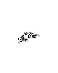 Nc1ncnc2c1ncn2[C@@H]1O[C@@H]2CO[P@@](=O)(S)O[C@@H]3[C@H](O)[C@@H](CO[P@](=O)(S)O[C@H]2[C@H]1O)O[C@H]3n1ccc(=O)n2ccnc12